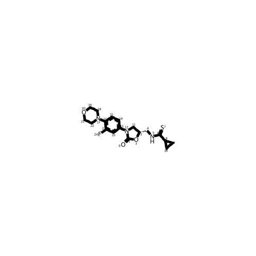 O=C1O[C@@H](CNC(=S)C2CC2)CN1c1ccc(N2CCOCC2)c(F)c1